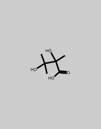 CC(C)(O)C(C)(O)C(=O)O